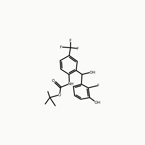 CC(C)(C)OC(=O)Nc1ccc(C(F)(F)F)cc1C(O)c1cccc(O)c1F